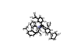 CC(C)c1cccc(C(C)C)c1N1CC[N+](c2c(C(C)C)cccc2C(C)C)=C1/N=N/c1cnc(N2CCCC2)cc1Cl